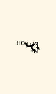 [CH]=CCc1cncnc1